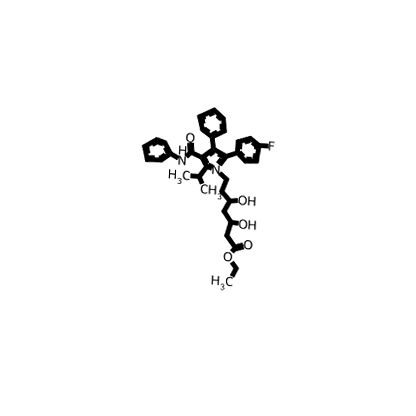 CCOC(=O)CC(O)CC(O)CCn1c(-c2ccc(F)cc2)c(-c2ccccc2)c(C(=O)Nc2ccccc2)c1C(C)C